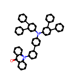 O=c1c2ccccc2n(-c2cccc(-c3ccc(N(c4ccc(-c5ccccc5)c(-c5ccccc5)c4)c4ccc(-c5ccccc5)c(-c5ccccc5)c4)cc3)c2)c2ccccc12